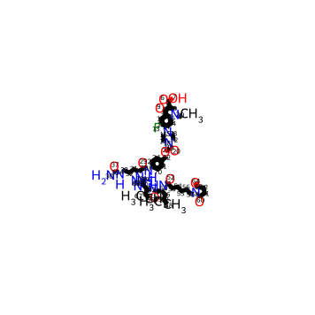 CCn1cc(C(=O)O)c(=O)c2cc(F)c(N3CCN(C(=O)OCc4ccc(NC(=O)C(CCCNC(N)=O)n5cc([C@@H](NC(=O)C(CC(C)C)NC(=O)CCCCCN6C(=O)CCC6=O)C(C)C)nn5)cc4)CC3)cc21